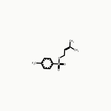 CC(C)=CCOS(=O)(=O)c1ccc(C(F)(F)F)cc1